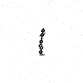 CCCCc1ccc(C2CCC3CC(c4ccc(C#Cc5cc(F)c(-c6ccc(C)cc6)cc5C)cc4)CCC3C2)cc1